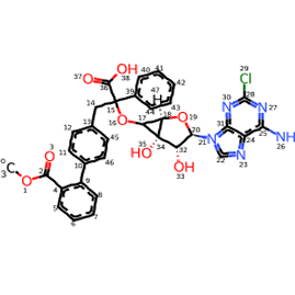 COC(=O)c1ccccc1-c1ccc(CC(OC2[C@H]3O[C@@H](n4cnc5c(N)nc(Cl)nc54)[C@H](O)[C@@]23O)(C(=O)O)c2ccccc2)cc1